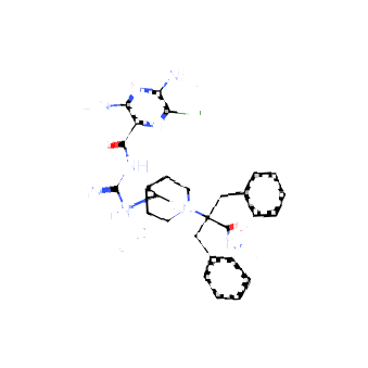 N=C(NC(=O)c1nc(Cl)c(N)nc1N)N[C@@H]1C[N+]2(C(Cc3ccccc3)(Cc3ccccc3)C(N)=O)CCC1CC2.[Br-]